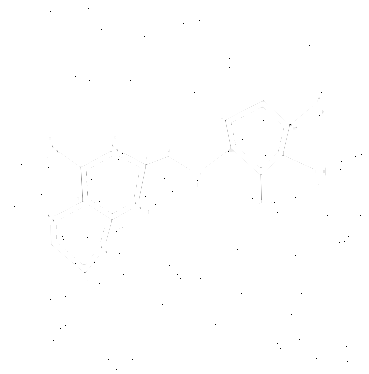 CCCc1c(OCc2nc(N)c3nccnc3n2)ccc(C(C)=O)c1O